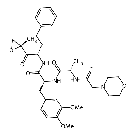 COc1ccc(C[C@H](NC(=O)[C@H](C)NC(=O)CN2CCOCC2)C(=O)N[C@@H](CCc2ccccc2)C(=O)[C@@]2(C)CO2)cc1OC